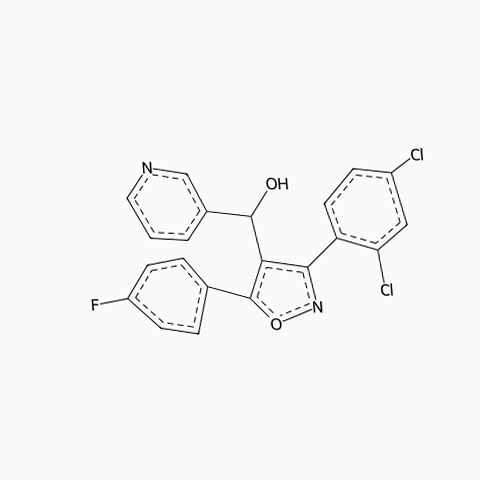 OC(c1cccnc1)c1c(-c2ccc(Cl)cc2Cl)noc1-c1ccc(F)cc1